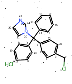 Cl.ClCc1ccc(C(c2ccccc2)(c2ccccc2)n2ccnc2)cc1